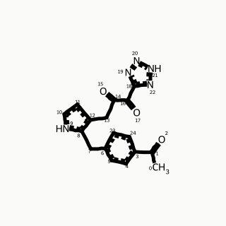 CC(=O)c1ccc(Cc2[nH]ccc2CC(=O)C(=O)c2nn[nH]n2)cc1